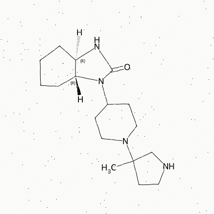 CC1(N2CCC(N3C(=O)N[C@@H]4CCCC[C@H]43)CC2)CCNC1